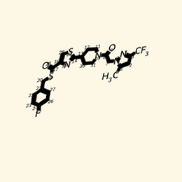 Cc1cc(C(F)(F)F)nn1CC(=O)N1CCC(c2nc(C(=O)SCc3ccc(F)cc3)cs2)CC1